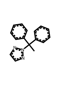 CC(c1ccccc1)(c1ccccc1)n1nccn1